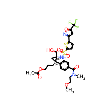 COCCN(C)C(=O)c1ccc([C@]2(CCCOC(C)=O)C[C@]2(NS(=O)(=O)c2ccc(-c3cc(C(F)(F)F)on3)s2)C(=O)O)cc1